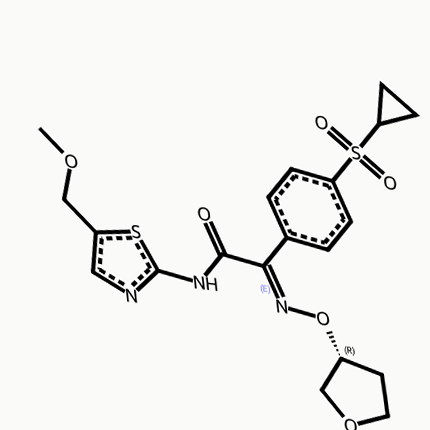 COCc1cnc(NC(=O)/C(=N/O[C@@H]2CCOC2)c2ccc(S(=O)(=O)C3CC3)cc2)s1